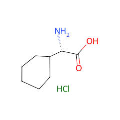 Cl.N[C@H](C(=O)O)C1CCCCC1